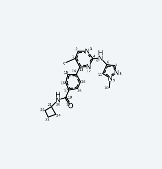 Cc1cnc(Nc2cnn(C)c2)nc1-c1ccc(C(=O)NC2CCC2)cc1